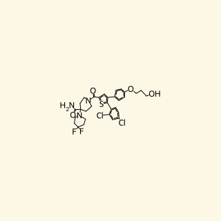 NC(=O)C1(N2CCC(F)(F)CC2)CCN(C(=O)c2cc(-c3ccc(OCCCO)cc3)c(-c3ccc(Cl)cc3Cl)s2)CC1